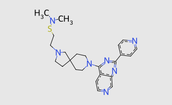 CN(C)SCCN1CCC2(CCN(c3nc(-c4ccncc4)nc4cnccc34)CC2)C1